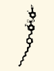 CCCCCCCCCCC1CCC(CCc2ccc(C(=O)Oc3ccc(C#N)c(F)c3)c(F)c2)CC1